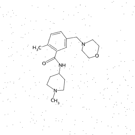 Cc1ccc(CN2CCOCC2)cc1C(=O)NC1CCN(C)CC1